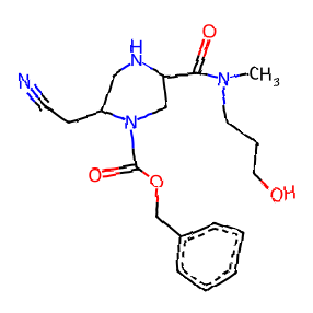 CN(CCCO)C(=O)C1CN(C(=O)OCc2ccccc2)C(CC#N)CN1